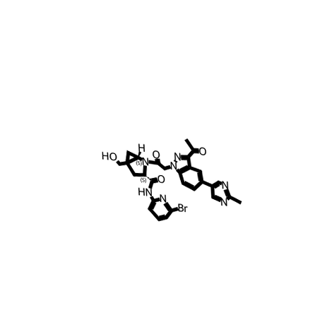 CC(=O)c1nn(CC(=O)N2[C@H]3CC3(CO)C[C@H]2C(=O)Nc2cccc(Br)n2)c2ccc(-c3cnc(C)nc3)cc12